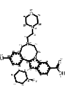 O=C(O)c1ccc2c([C@H]3CCCC[C@@H]3F)c3n(c2c1)CCN(CCN1CCOCC1)Cc1cc(Cl)ccc1-3